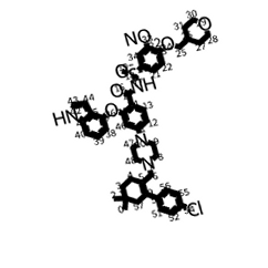 CC1(C)CCC(CN2CCN(c3ccc(C(=O)N[S+]([O-])c4ccc(OCC5CCOCC5)c([N+](=O)[O-])c4)c(Oc4cccc5[nH]ccc45)c3)CC2)=C(c2ccc(Cl)cc2)C1